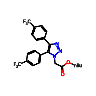 CCCCOC(=O)Cn1nnc(-c2ccc(C(F)(F)F)cc2)c1-c1ccc(C(F)(F)F)cc1